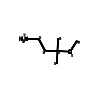 COC(C)(C)CCN